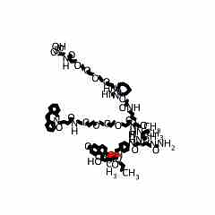 CCCC1O[C@@H]2CC3C4CCC5=CC(=O)C=C[C@]5(C)C4[C@@H](O)C[C@]3(C)[C@]2(C(=O)CCc2ccc(NC(=O)[C@H](CCCNC(N)=O)NC(=O)[C@@H](NC(=O)[C@@H](CCCCNC(=O)COC3CCCCC/C(NCCOCCOCCOCCOCCC(=O)NCCS(=O)(=O)O)=C\3N=N)NC(=O)CCOCCOCCOCCOCCNC(=O)CCC(=O)N3Cc4ccccc4C#Cc4ccccc43)C(C)C)cc2)O1